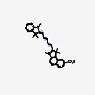 CN1/C(=C/C=C/C=C/C2=[N+](C)c3ccc4ccc(S(=O)(=O)O)cc4c3C2(C)C)C(C)(C)c2ccccc21